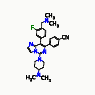 CN(C)Cc1ccc(-c2c(-c3ccc(C#N)cc3)nc(N3CCC(N(C)C)CC3)n3ccnc23)cc1F